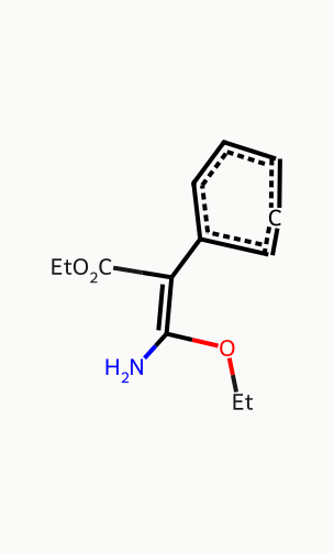 CCOC(=O)C(=C(N)OCC)c1ccccc1